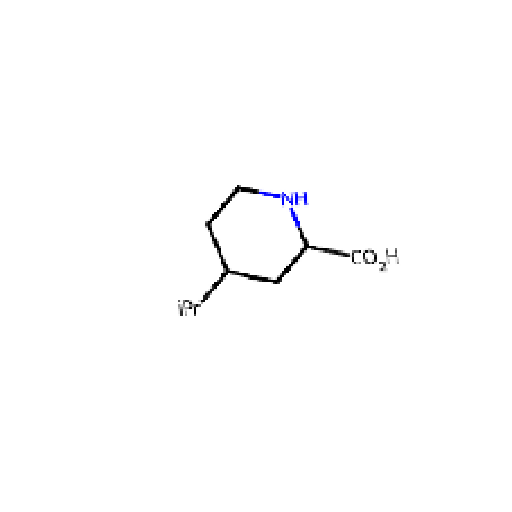 CC(C)C1CCNC(C(=O)O)C1